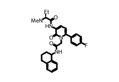 CC[C@H](NC)C(=O)Nc1ccc(-c2ccc(F)cc2)n(CC(=O)NC2CCCc3ccccc32)c1=O